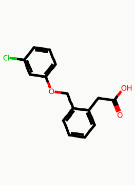 O=C(O)Cc1ccccc1COc1cccc(Cl)c1